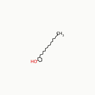 CCCCCCCCCCCCCCCC1CCCC(O)C1